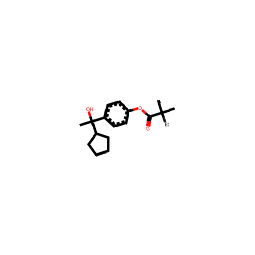 CCC(C)(C)C(=O)Oc1ccc(C(C)(O)C2CCCC2)cc1